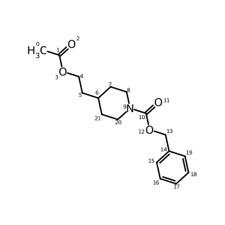 CC(=O)OCCC1CCN(C(=O)OCc2ccccc2)CC1